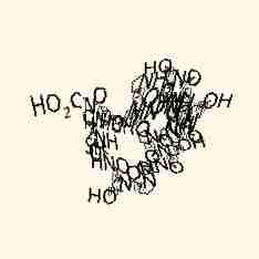 O=C(O)CNC(=O)[C@@H]1C[C@@H](O)CN1C(=O)[C@H](CS)NC(=O)CNC(=O)[C@@H]1C[C@@H](O)CN1C(=O)[C@@H]1CCCN1C(=O)CNC(=O)[C@@H]1C[C@@H](O)CN1C(=O)[C@@H]1CCCN1C(=O)CNC(=O)[C@@H]1C[C@@H](O)CN1C(=O)[C@@H]1CCCN1C(=O)CNC(=O)[C@@H]1C[C@@H](O)CN1C(=O)[C@@H]1CCCN1C(=O)CNC(=O)[C@@H]1C[C@@H](O)CN1C(=O)[C@@H]1CCCN1